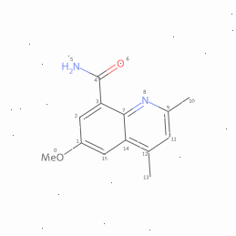 COc1cc(C(N)=O)c2nc(C)cc(C)c2c1